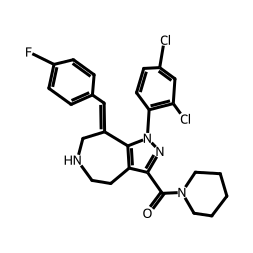 O=C(c1nn(-c2ccc(Cl)cc2Cl)c2c1CCNC/C2=C\c1ccc(F)cc1)N1CCCCC1